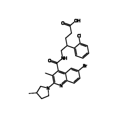 Cc1c(N2CCC(C)C2)nc2ccc(Br)cc2c1C(=O)NCC(CCC(=O)O)c1ccccc1Cl